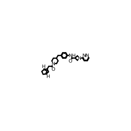 O=C(Nc1ccc(CC2CCN(C(=O)CC3C[C@@H]4CC[C@H]3C4)CC2)cc1)C1CN(c2cccnn2)C1